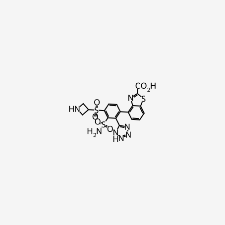 NS(=O)(=O)c1c(S(=O)(=O)C2CNC2)ccc(-c2cccc3sc(C(=O)O)nc23)c1-c1nnn[nH]1